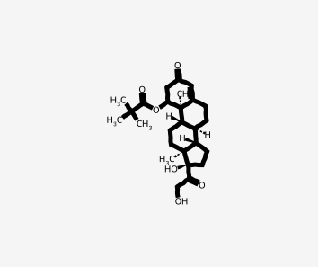 CC(C)(C)C(=O)OC1CC(=O)C=C2CC[C@H]3[C@@H]4CC[C@](O)(C(=O)CO)[C@@]4(C)CC[C@@H]3[C@]21C